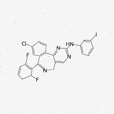 FC1=C(C2=NCc3cnc(Nc4cccc(I)c4)nc3-c3ccc(Cl)cc32)C(F)CC=C1